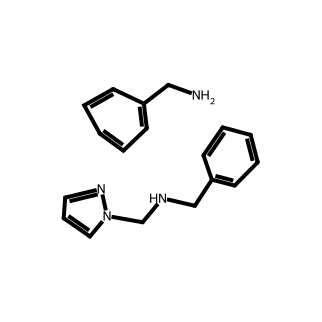 NCc1ccccc1.c1ccc(CNCn2cccn2)cc1